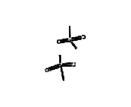 CS(C)(=O)=O.CS(C)(=O)=O